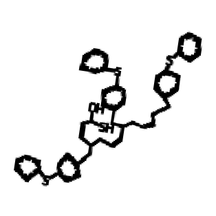 OC(S)/C=C\C(C/C=C\C(C/C=C\CCc1ccc(Sc2ccccc2)cc1)Cc1ccc(Sc2ccccc2)cc1)Cc1ccc(Sc2ccccc2)cc1